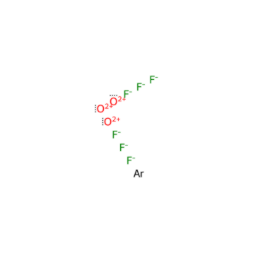 [Ar].[F-].[F-].[F-].[F-].[F-].[F-].[O+2].[O+2].[O+2]